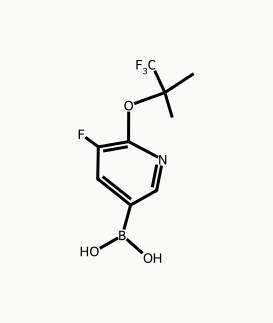 CC(C)(Oc1ncc(B(O)O)cc1F)C(F)(F)F